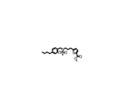 CCCCc1ccc(CN(CCCc2ccc(C(=O)OC)s2)S(C)(=O)=O)cc1